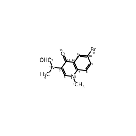 CN(C=O)c1cn(C)c2ccc(Br)cc2c1=O